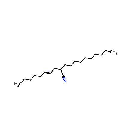 CCCCC/C=C/CC(C#N)CCCCCCCCCC